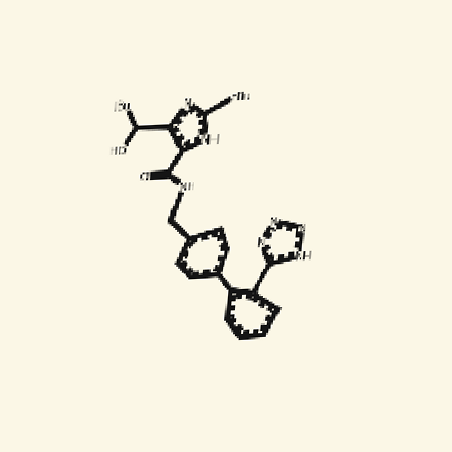 CCCCc1nc(C(O)C(C)(C)C)c(C(=O)NCc2ccc(-c3ccccc3-c3nnn[nH]3)cc2)[nH]1